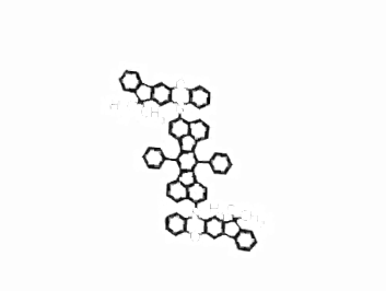 CC1(C)c2ccccc2-c2cc3c(cc21)N(c1ccc2c4c(-c5ccccc5)c5c6cccc7c(N8c9ccccc9Oc9cc%10c(cc98)C(C)(C)c8ccccc8-%10)ccc(c5c(-c5ccccc5)c4c4cccc1c42)c76)c1ccccc1O3